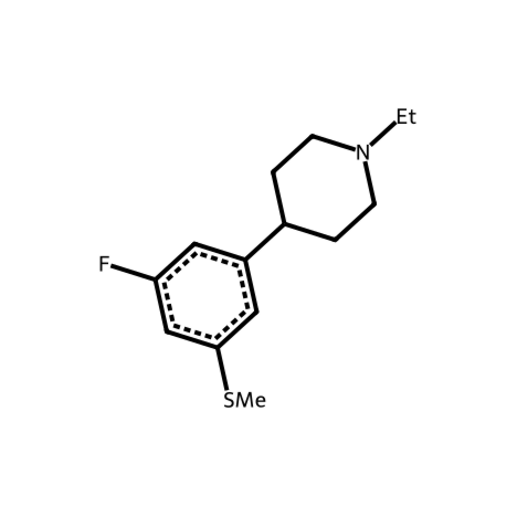 CCN1CCC(c2cc(F)cc(SC)c2)CC1